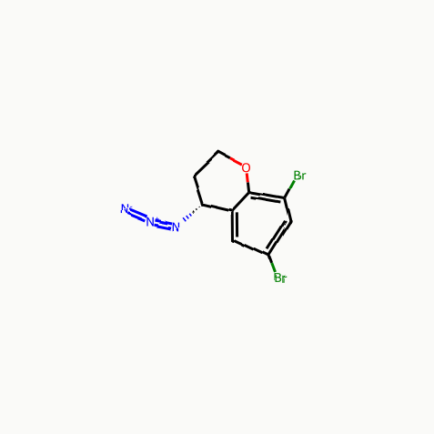 [N-]=[N+]=N[C@@H]1CCOc2c(Br)cc(Br)cc21